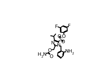 CC(C)c1nc(COC(N)=O)n(Cc2ccccc2N)c1S(=O)(=O)Oc1cc(F)cc(F)c1